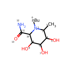 CCCCN1C(C)C(O)C(O)C(O)C1C(N)=O